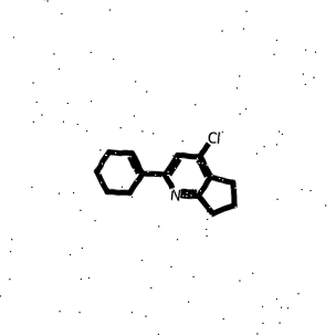 Clc1cc(C2=CCCCC2)nc2c1CCC2